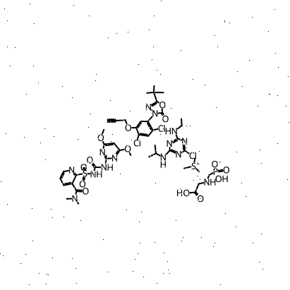 C#CCOc1cc(-n2nc(C(C)(C)C)oc2=O)c(Cl)cc1Cl.CCNc1nc(Cl)nc(NC(C)C)n1.COc1cc(OC)nc(NC(=O)NS(=O)(=O)c2ncccc2C(=O)N(C)C)n1.C[S+](C)C.O=C(O)CNCP(=O)([O-])O